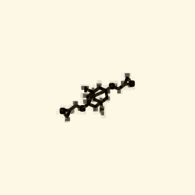 FC12CC3(F)CC(OCC4CO4)(C1)CC(OCC1CO1)(C2)C3